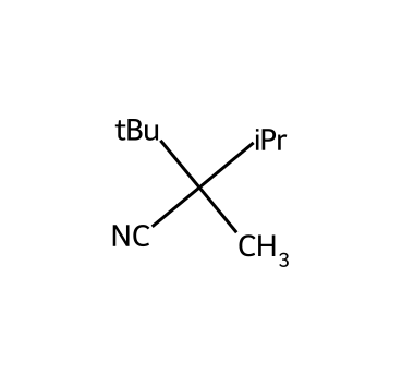 CC(C)C(C)(C#N)C(C)(C)C